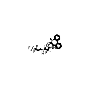 CN1C(=O)[C@@H](NC(=O)[C@@](C)(F)C(=O)NCCC(F)(F)C(F)(F)F)c2ccccc2-c2ccccc21